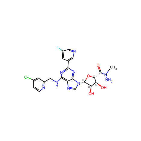 CN(N)C(=O)[C@H]1O[C@@H](n2cnc3c(NCc4cc(Cl)ccn4)nc(-c4cncc(F)c4)nc32)[C@H](O)[C@@H]1O